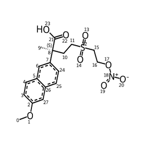 COc1ccc2cc([C@](C)(CCS(=O)(=O)CCO[N+](=O)[O-])C(=O)O)ccc2c1